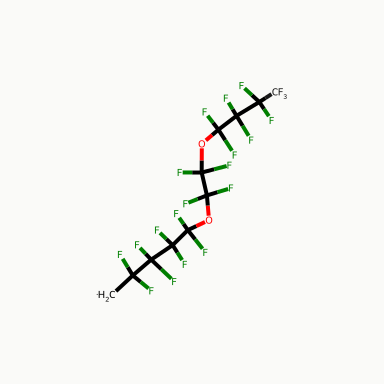 [CH2]C(F)(F)C(F)(F)C(F)(F)C(F)(F)OC(F)(F)C(F)(F)OC(F)(F)C(F)(F)C(F)(F)C(F)(F)F